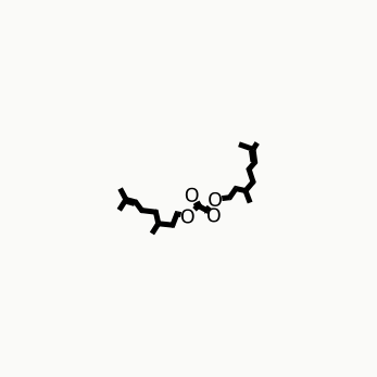 CC(C)=CCCC(C)CCOC(=O)C(=O)OCCC(C)CCC=C(C)C